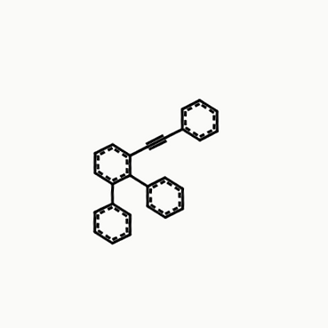 C(#Cc1cccc(-c2ccccc2)c1-c1ccccc1)c1ccccc1